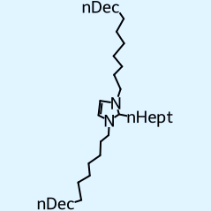 CCCCCCCCCCCCCCCCCN1C=CN(CCCCCCCCCCCCCCCCC)C1CCCCCCC